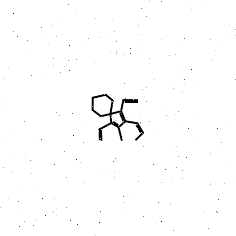 C=CC1=C(C)C(/C=C\C)=C(C=C)C12CCCCC2